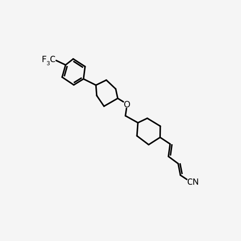 N#CC=CC=CC1CCC(COC2CCC(c3ccc(C(F)(F)F)cc3)CC2)CC1